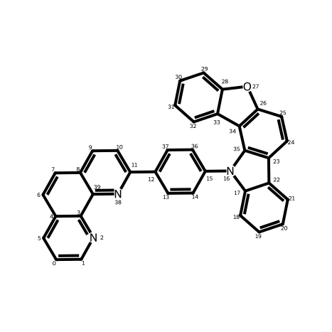 c1cnc2c(c1)ccc1ccc(-c3ccc(-n4c5ccccc5c5ccc6oc7ccccc7c6c54)cc3)nc12